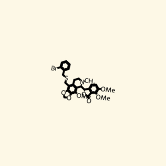 COc1ccc2c(c1OC)C(=O)O[C@@H]2[C@H]1c2c(c(CSCc3ccccc3Br)c3c(c2OC)OCO3)CCN1C